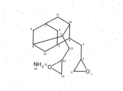 C1OC1CC1C2CC3CC(C2)C(CC2CO2)C1C3.N